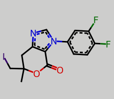 CC1(CI)Cc2ncn(-c3ccc(F)c(F)c3)c2C(=O)O1